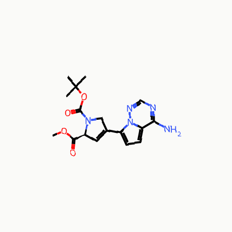 COC(=O)[C@@H]1C=C(c2ccc3c(N)ncnn23)CN1C(=O)OC(C)(C)C